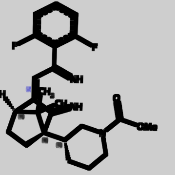 COC(=O)N1CCC[C@H]([C@@]23CC[C@@H](/C(=C/C(=N)c4c(F)cccc4F)C2=N)C3(C)C)C1